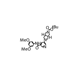 COc1cc(NC(=O)c2cncc(N3C[C@H]4CN(C(=O)OC(C)(C)C)C[C@H]4C3)c2)cc(OC)c1